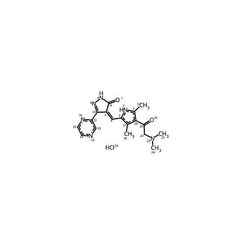 Cc1[nH]c(C=C2C(=O)NN=C2c2cnccn2)c(C)c1C(=O)CN(C)C.Cl